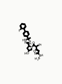 BBc1cc(C(C(=O)N2CC(O)CC2C2=NNC(C)(c3ccc(-c4ccccc4F)cc3)N2)C(C)C)on1